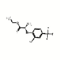 CCOC(=O)N(N)Nc1ccc(C(F)(F)F)cc1Cl